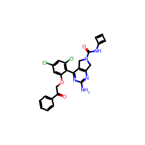 Nc1nc2c(c(-c3c(Cl)cc(Cl)cc3OCC(=O)c3ccccc3)n1)CN(C(=O)NC1=CC=C1)C2